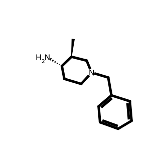 C[C@H]1CN(Cc2ccccc2)CC[C@@H]1N